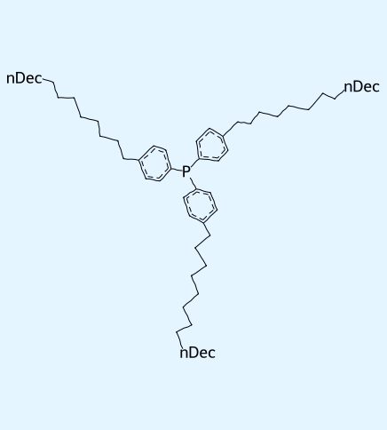 CCCCCCCCCCCCCCCCCCc1ccc(P(c2ccc(CCCCCCCCCCCCCCCCCC)cc2)c2ccc(CCCCCCCCCCCCCCCCCC)cc2)cc1